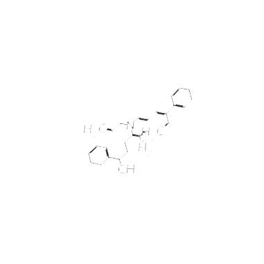 C=CCN(/C=C/C=C(\C=C)C1=CCCC=C1)C(=C)CCC(C)C1=CC=CCC1